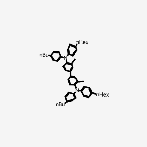 CCCCCCc1ccc(N(c2ccc(CCCC)cc2)c2ccc(-c3ccc(N(c4ccc(CCCC)cc4)c4ccc(CCCCCC)cc4)c(C)c3)cc2C)cc1